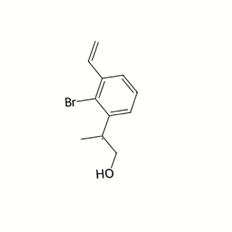 C=Cc1cccc([C](C)CO)c1Br